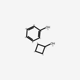 OC1CCC1.Oc1ccccc1